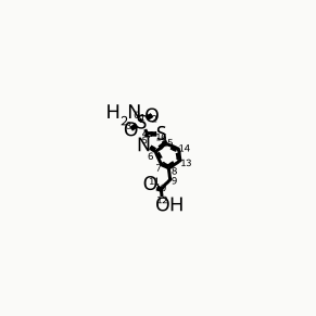 NS(=O)(=O)c1nc2cc(CC(=O)O)ccc2s1